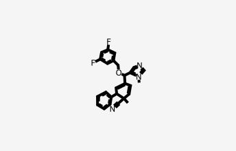 Cn1cncc1C(OCc1cc(F)cc(F)c1)C1=CC(c2ccccc2)C(C)(C#N)C=C1